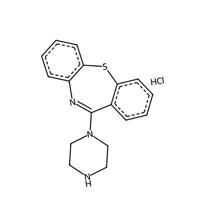 Cl.c1ccc2c(c1)N=C(N1CCNCC1)c1ccccc1S2